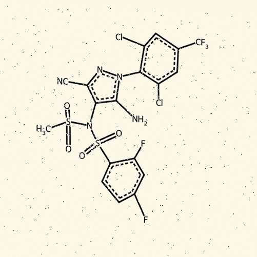 CS(=O)(=O)N(c1c(C#N)nn(-c2c(Cl)cc(C(F)(F)F)cc2Cl)c1N)S(=O)(=O)c1ccc(F)cc1F